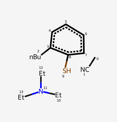 CC#N.CCCCc1ccccc1S.CCN(CC)CC